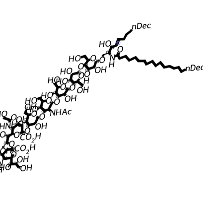 CCCCCCCCCCCCC/C=C/[C@@H](O)[C@H](CO[C@@H]1OC(CO)[C@@H](O[C@@H]2OC(CO)[C@H](O[C@@H]3OC(CO)[C@H](O)[C@H](O[C@@H]4OC(CO)[C@H](O)[C@H](O[C@@H]5OC(CO)[C@H](O)[C@H](O[C@]6(C(=O)O)CC(O)[C@@H](NC(=O)CO)C([C@H](O)[C@@H](CO)O[C@]7(C(=O)O)CC(O)[C@@H](NC(=O)CO)C([C@H](O)[C@H](O)CO)O7)O6)C5O)C4NC(C)=O)C3O)[C@H](O)C2O)[C@H](O)C1O)NC(=O)CCCCCCCCCCCCCCCCCCCCCCCCC